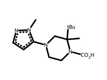 Cn1nccc1N1CCN(C(=O)O)C(C)(C(C)(C)C)C1